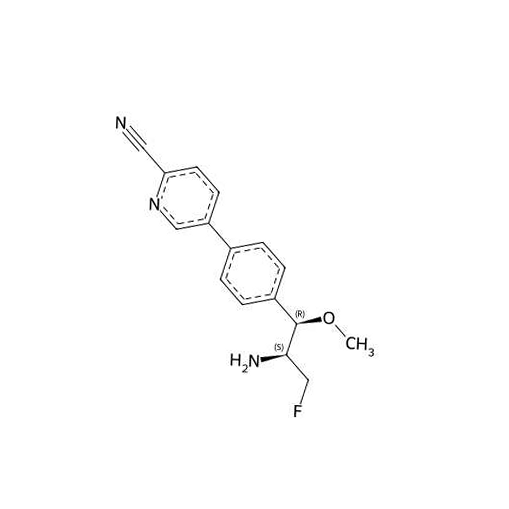 CO[C@H](c1ccc(-c2ccc(C#N)nc2)cc1)[C@H](N)CF